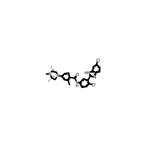 Cc1cc(N2C[C@@H](C)N(C)[C@@H](C)C2)ccc1C(=O)Nc1ccc(Cl)c(-c2nc3ccc(Cl)cc3[nH]2)c1